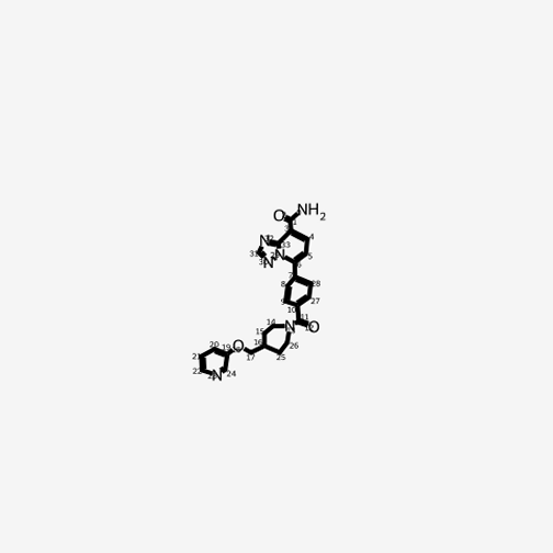 NC(=O)c1ccc(-c2ccc(C(=O)N3CCC(COc4cccnc4)CC3)cc2)n2n[c]nc12